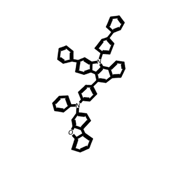 c1ccc(-c2ccc(-n3c4cc(-c5ccccc5)ccc4c4c(-c5ccc(N(c6ccccc6)c6ccc7c(c6)oc6ccccc67)cc5)cc5ccccc5c43)cc2)cc1